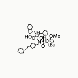 COC(=O)N[C@H](C(=O)NN(Cc1ccc(/C=C/c2ccccc2)cc1)C[C@@](O)(Cc1ccccc1)C(=O)N[C@H]1c2ccccc2C[C@H]1O)C(C)(C)C